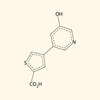 O=C(O)c1cc(-c2cncc(O)c2)cs1